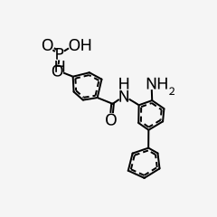 Nc1ccc(-c2ccccc2)cc1NC(=O)c1ccc(O[PH](=O)O)cc1